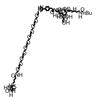 CCCCC(=O)NCCCCCCO[C@]1(C(=O)O)C[C@H](O)[C@@H](NC(=O)CO)[C@H]([C@H](O)[C@H](O)CNC(=O)Cc2ccc(-c3cn(CCOCCOCCOCCOCCOCCOCCOCCOCCOCCOCCOCCNC(=O)CCCC[C@@H]4SC[C@@H]5NC(=O)N[C@@H]54)nn3)cc2)O1